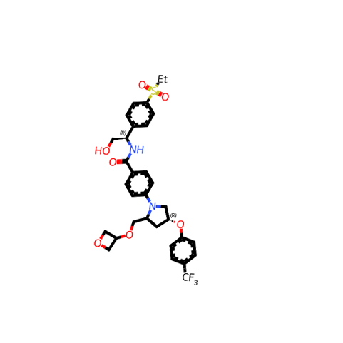 CCS(=O)(=O)c1ccc([C@H](CO)NC(=O)c2ccc(N3C[C@H](Oc4ccc(C(F)(F)F)cc4)CC3COC3COC3)cc2)cc1